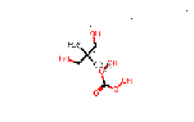 CC(CO)(CO)C(=O)O.O=C(OO)OO